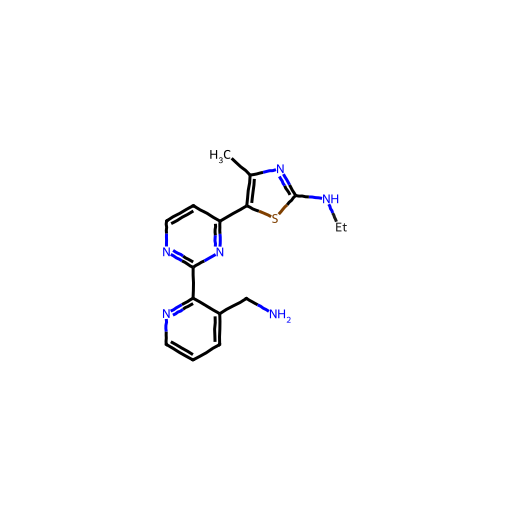 CCNc1nc(C)c(-c2ccnc(-c3ncccc3CN)n2)s1